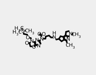 Cc1nc2c(c3c1CC(CNCCC1CN(c4cnc5c(n4)N(COCCS(C)(C)C)C(=O)CO5)C(=O)O1)C3)CCN2C